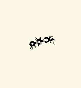 Cc1c(N2CCC3(CC2)CO[C@@H](C)[C@@H]3N)nc(C)n(-c2cccc(Cl)c2Cl)c1=O